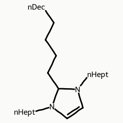 CCCCCCCCCCCCCCC1N(CCCCCCC)C=CN1CCCCCCC